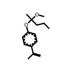 C=C(C)c1ccc(OC(C)(CCC)OC)cc1